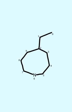 CCC1CCC[N]CCC1